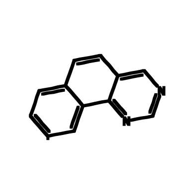 [c]1ccc2ccc3cncnc3c2c1